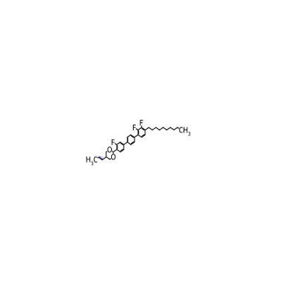 C/C=C/C1COC(c2ccc(-c3ccc(-c4ccc(CCCCCCCCCC)c(F)c4F)cc3)cc2F)OC1